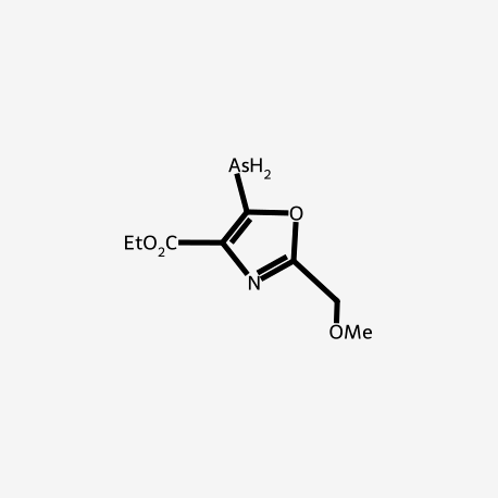 CCOC(=O)c1nc(COC)oc1[AsH2]